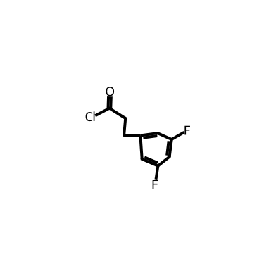 O=C(Cl)CCc1cc(F)cc(F)c1